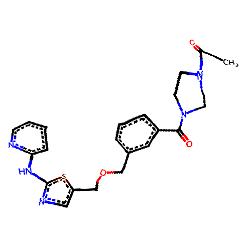 CC(=O)N1CCN(C(=O)c2cccc(COCc3cnc(Nc4ccccn4)s3)c2)CC1